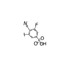 N#Cc1c(F)cc(S(=O)(=O)O)cc1I